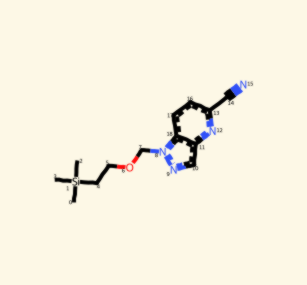 C[Si](C)(C)CCOCn1ncc2nc(C#N)ccc21